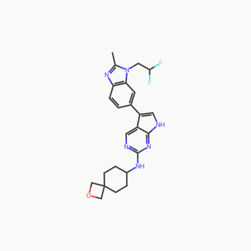 Cc1nc2ccc(-c3c[nH]c4nc(NC5CCC6(CC5)COC6)ncc34)cc2n1CC(F)F